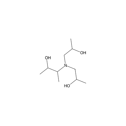 CC(O)CN(CC(C)O)C(C)C(C)O